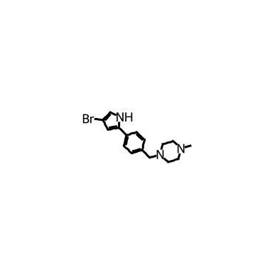 CN1CCN(Cc2ccc(-c3cc(Br)c[nH]3)cc2)CC1